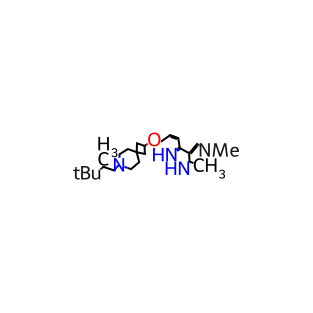 CN/C=C(\C(C)=N)C(=N)/C=C\COC1CC2(CCN(CC(C)C(C)(C)C)CC2)C1